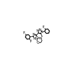 Fc1ccc(F)c(-c2noc(-c3nnn(-c4ccccc4F)c3CN3CCOCC3)n2)c1